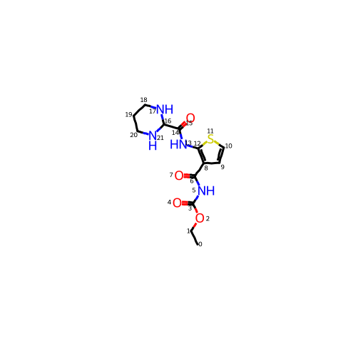 CCOC(=O)NC(=O)c1ccsc1NC(=O)C1NCCCN1